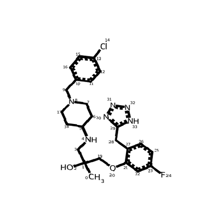 CC(O)(CNC1CCN(Cc2ccc(Cl)cc2)CC1)COc1cc(F)ccc1Cc1nnn[nH]1